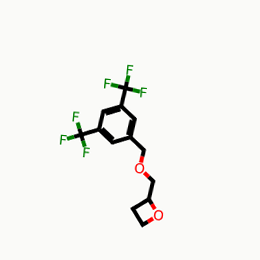 FC(F)(F)c1cc(COCC2CCO2)cc(C(F)(F)F)c1